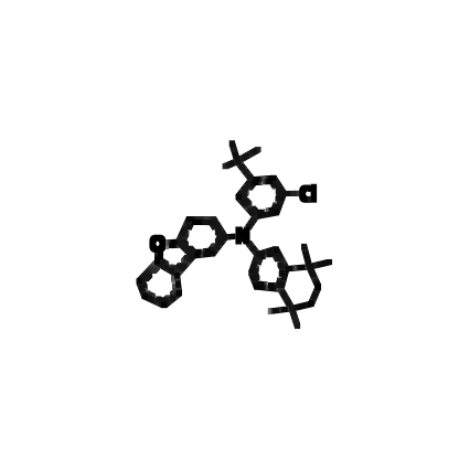 CC(C)(C)c1cc(Cl)cc(N(c2ccc3c(c2)C(C)(C)CCC3(C)C)c2ccc3oc4ccccc4c3c2)c1